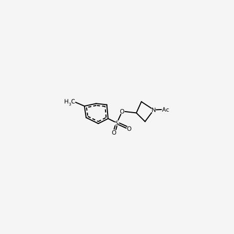 CC(=O)N1CC(OS(=O)(=O)c2ccc(C)cc2)C1